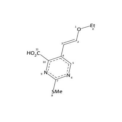 CCOC=Cc1cnc(SC)nc1C(=O)O